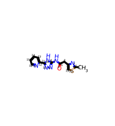 Cc1nc(CC(=O)Nc2nnc(-c3ccccn3)[nH]2)cs1